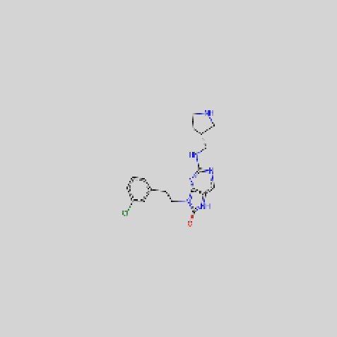 O=c1[nH]c2cnc(NC[C@@H]3CCNC3)nc2n1CCc1cccc(Cl)c1